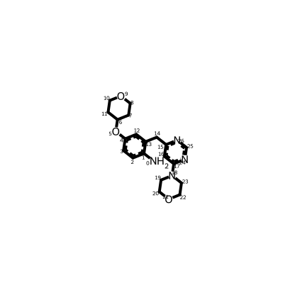 Nc1ccc(OC2CCOCC2)cc1Cc1cc(N2CCOCC2)ncn1